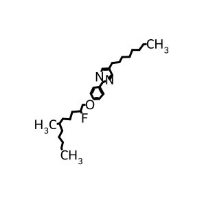 CCCCCCCCc1cnc(-c2ccc(OCC(F)CCCC(C)CCCCC)cc2)nc1